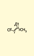 CC/C(C)=[C]\Cl